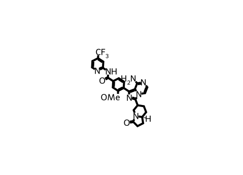 COc1cc(C(=O)Nc2cc(C(F)(F)F)ccn2)ccc1-c1nc(C2CC[C@H]3CCC(=O)N3C2)n2ccnc(N)c12